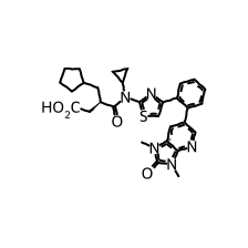 Cn1c(=O)n(C)c2ncc(-c3ccccc3-c3csc(N(C(=O)[C@@H](CC(=O)O)CC4CCCC4)C4CC4)n3)cc21